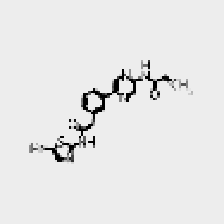 C=CC(=O)Nc1cnc(-c2cccc(CC(=O)Nc3ncc(C(C)C)s3)c2)cn1